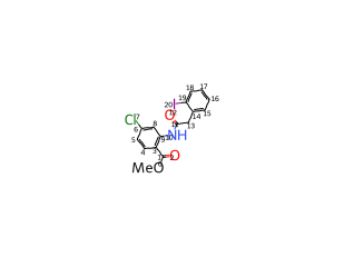 COC(=O)c1ccc(Cl)cc1NC(=O)Cc1ccccc1I